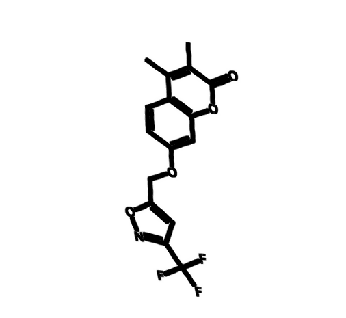 Cc1c(C)c2ccc(OCc3cc(C(F)(F)F)no3)cc2oc1=O